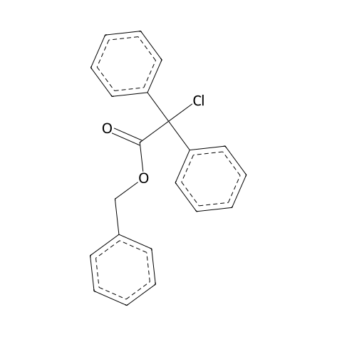 O=C(OCc1ccccc1)C(Cl)(c1ccccc1)c1ccccc1